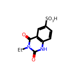 CCn1c(=O)[nH]c2ccc(S(=O)(=O)O)cc2c1=O